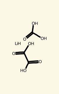 O=C(O)C(=O)O.O=C(O)O.[LiH]